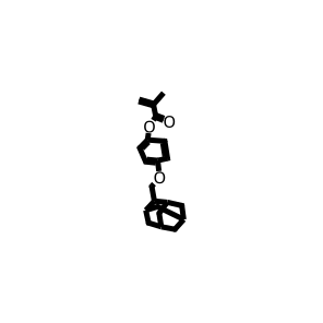 C=C(C)C(=O)Oc1ccc(OCC2C3CC4CC(C3)CC2C4)cc1